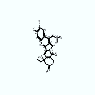 CCC1(O)CC(=O)OCc2c1cc1n(c2=O)Cc2c-1nc1cc(F)c(F)cc1c2CN(C)C